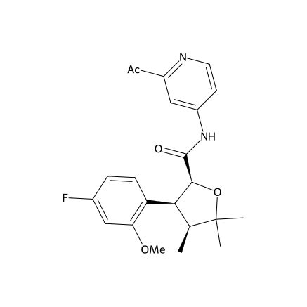 COc1cc(F)ccc1[C@H]1[C@@H](C(=O)Nc2ccnc(C(C)=O)c2)OC(C)(C)[C@H]1C